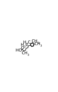 Cc1ccc(C(C)CCCC(C)C(=O)O)c(C)c1C